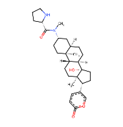 CN(C(=O)[C@@H]1CCCN1)[C@H]1CC[C@@]2(C)[C@H](CC[C@@H]3[C@@H]2CC[C@]2(C)[C@@H](c4ccc(=O)oc4)CC[C@]32O)C1